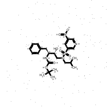 CC(C)CN(C[C@@H](O)[C@H](Cc1ccccc1)NC(=O)OC(C)(C)C)S(=O)(=O)c1cncc([N+](=O)[O-])c1